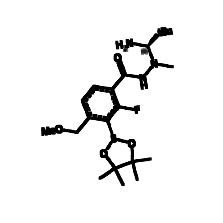 COCc1ccc(C(=O)NN(C)[C@@H](N)C(C)(C)C)c(F)c1B1OC(C)(C)C(C)(C)O1